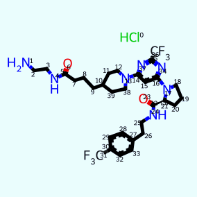 Cl.NCCNC(=O)CCCC1CCN(c2cc(N3CCC[C@H]3C(=O)NCCc3ccc(C(F)(F)F)cc3)nc(C(F)(F)F)n2)CC1